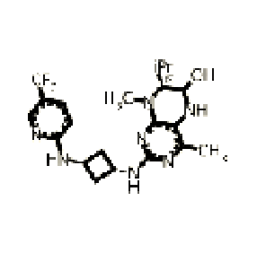 Cc1nc(N[C@H]2C[C@H](Nc3ccc(C(F)(F)F)cn3)C2)nc2c1NC(O)[C@H](C(C)C)N2C